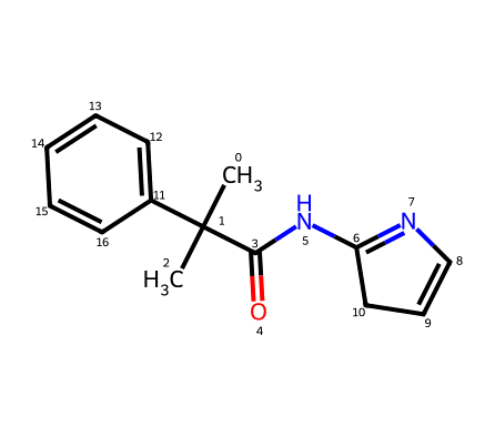 CC(C)(C(=O)NC1=NC=CC1)c1ccccc1